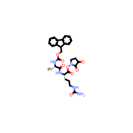 CC(C)[C@H](NC(=O)OCC1c2ccccc2-c2ccccc21)C(=O)N[C@@H](CCCNC(N)=O)C(=O)ON1CCC(=O)C1=O